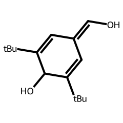 CC(C)(C)C1=CC(=CO)C=C(C(C)(C)C)C1O